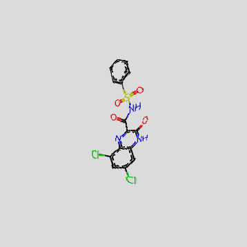 O=C(NS(=O)(=O)c1ccccc1)c1nc2c(Cl)cc(Cl)cc2[nH]c1=O